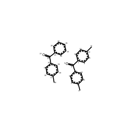 Cc1ccc(C(=O)c2ccc(C)cc2)cc1.Cc1ccc(C(=O)c2ccccc2)cc1